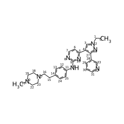 CCn1cc(-c2ccnc(Nc3ccc(CCN4CCN(C)CC4)cc3)n2)c(-c2cccnc2)n1